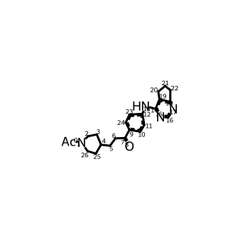 CC(=O)N1CCC(CCC(=O)c2ccc(Nc3ncnc4c3CCC4)cc2)CC1